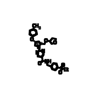 CCS(=O)(=O)c1ccc(CNC(=O)c2cnc(N3C[C@H](Oc4ccc(C)cc4)C[C@H]3COC3CCOC3)nc2)cc1